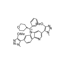 COc1nnn(C)c1-c1ccc2c3ncc(-c4c(OC)nnn4C)cc3n([C@H](c3ccccc3)C3CCOCC3)c2c1